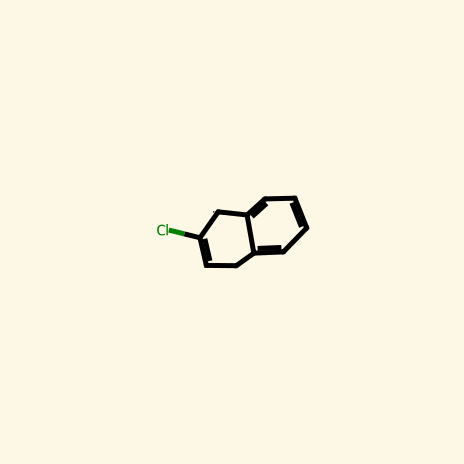 ClC1=CCc2ccccc2[CH]1